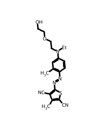 CCN(CCOCCO)c1ccc(N=Nc2sc(C#N)c(C)c2C#N)c(C)c1